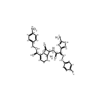 Nc1nc(/C(=N/Oc2ccc(F)cc2)C(=O)NC2C(=O)N3C(C(=O)OCc4ccc([N+](=O)[O-])cc4)=CCS[C@H]23)ns1